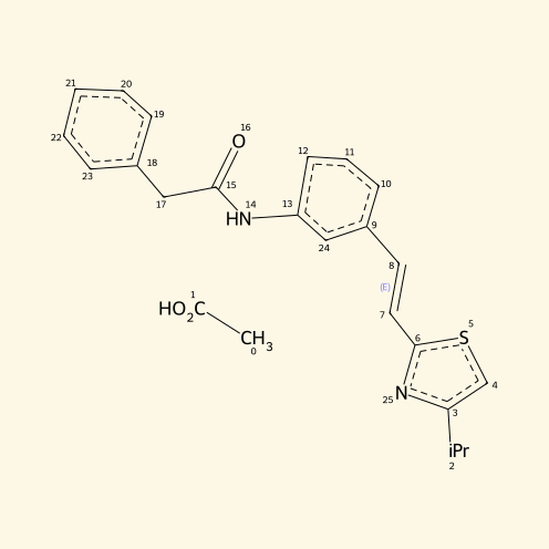 CC(=O)O.CC(C)c1csc(/C=C/c2cccc(NC(=O)Cc3ccccc3)c2)n1